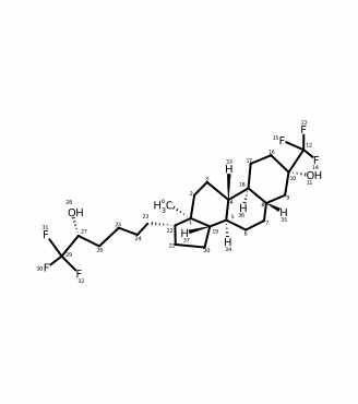 C[C@]12CC[C@H]3[C@@H](CC[C@H]4C[C@](O)(C(F)(F)F)CC[C@@H]43)[C@@H]1CC[C@@H]2CCCC[C@@H](O)C(F)(F)F